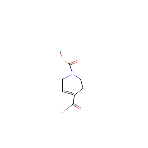 CCC(=O)C1=CCN(C(=O)OC(C)(C)C)CC1